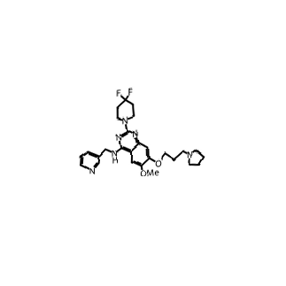 COc1cc2c(NCc3cccnc3)nc(N3CCC(F)(F)CC3)nc2cc1OCCCN1CCCC1